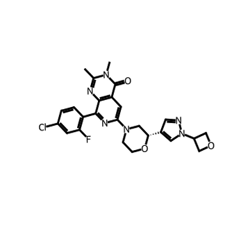 Cc1nc2c(-c3ccc(Cl)cc3F)nc(N3CCO[C@@H](c4cnn(C5COC5)c4)C3)cc2c(=O)n1C